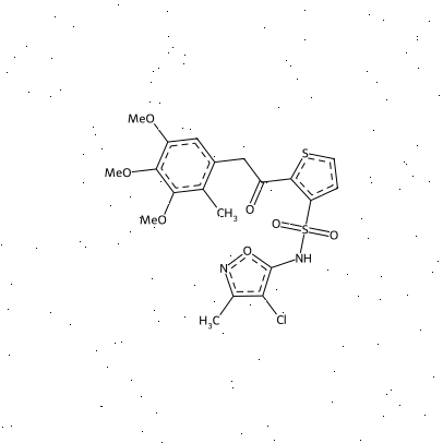 COc1cc(CC(=O)c2sccc2S(=O)(=O)Nc2onc(C)c2Cl)c(C)c(OC)c1OC